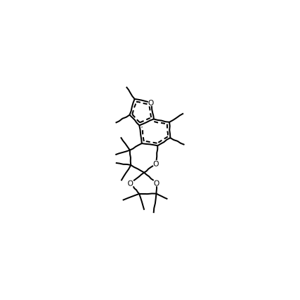 Cc1oc2c(C)c(C)c3c(c2c1C)C(C)(C)C(C)(C)C1(O3)OC(C)(C)C(C)(C)O1